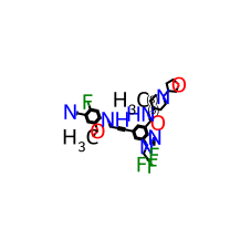 COc1cc(C#N)c(F)cc1NCC#Cc1cc(C(=O)N[C@H]2CCN(C3CCOC3)C[C@@H]2C)c2ncn(CC(F)(F)F)c2c1